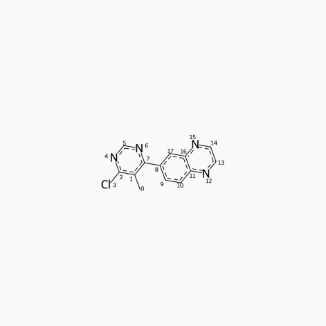 Cc1c(Cl)ncnc1-c1ccc2nccnc2c1